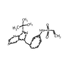 C=CS(=O)(=O)Nc1cccc(Cc2nn(C(C)(C)C)c3ncncc23)c1